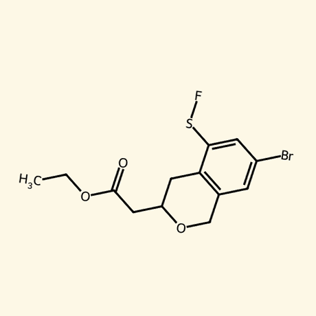 CCOC(=O)CC1Cc2c(cc(Br)cc2SF)CO1